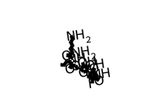 CC[C@H](C)[C@H](NC(=O)[C@@H](N)CCCCN)C(=O)OC[C@@H]1O[C@H](n2cc(F)c(=O)[nH]c2=O)C(O)C1O